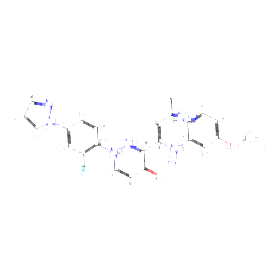 CC(=N)/C=C(\Nc1cccc(OC(F)(F)F)c1)c1nn(-c2ccc(-n3cccn3)cc2F)ccc1=O